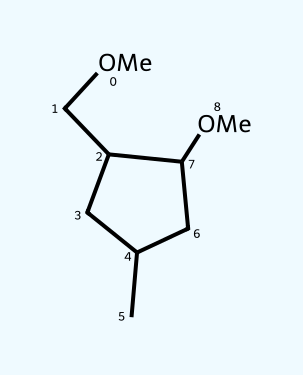 COCC1CC(C)CC1OC